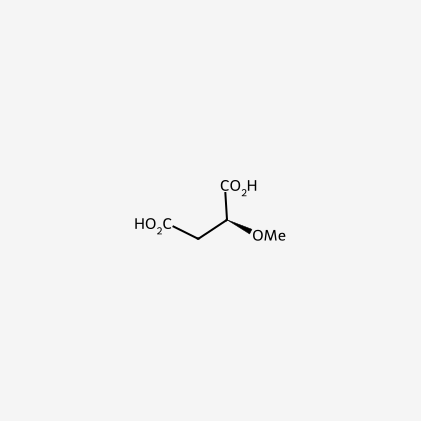 CO[C@@H](CC(=O)O)C(=O)O